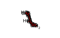 Nc1ncnc2c1c(-c1ccc(Oc3ccccc3)cc1)nn2C1CCN(CCOCCOCCOCCOCCN2C(=O)C(=Cc3cc(Br)c(O)c(Br)c3)c3cc(I)ccc32)CC1.O=CO